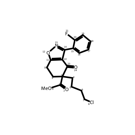 COC(=O)C1(CCCCCl)CCc2onc(-c3ccccc3F)c2C1=O